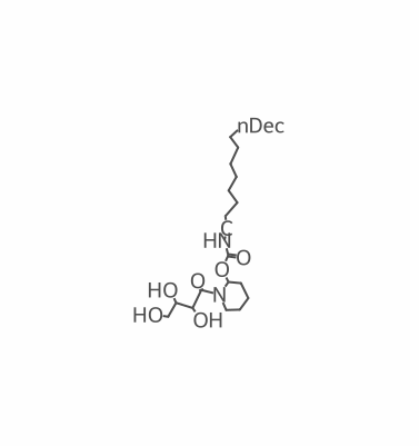 CCCCCCCCCCCCCCCCCCNC(=O)OC1CCCCN1C(=O)C(O)C(O)CO